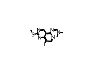 CSc1ncc2c(/N=C\N(C)C)ncc(I)c2n1